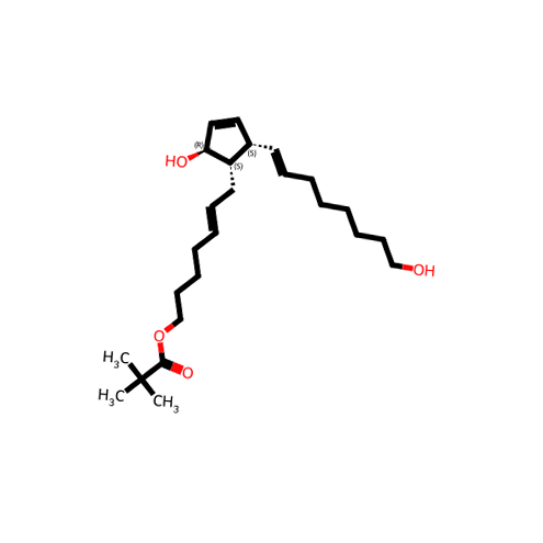 CC(C)(C)C(=O)OCCCCC=CC[C@H]1[C@@H](C=CCCCCCCO)C=C[C@@H]1O